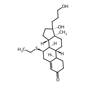 CCS[C@@H]1CC2=CC(=O)CC[C@@H]2[C@H]2CC[C@@]3(C)[C@@H](CC[C@@]3(O)CCCO)[C@@H]21